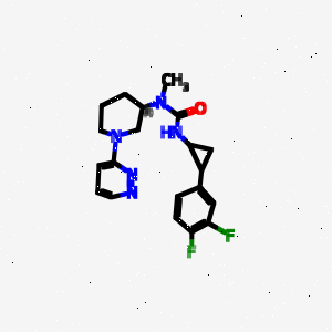 CN(C(=O)NC1CC1c1ccc(F)c(F)c1)[C@@H]1CCCN(c2cccnn2)C1